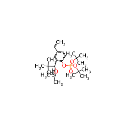 C=Cc1ccc(OP(=O)(OC(C)(C)C)OC(C)(C)C)c(C(O[SiH](C)C)C(C)(C)C)c1